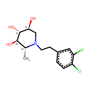 C[C@@H]1[C@@H](O)[C@H](O)[C@@H](O)CN1CCc1ccc(Cl)c(Cl)c1